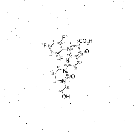 O=C(O)c1cn(-c2c(F)cc(F)cc2F)c2nc(N3CCCN(CCO)C3=O)ccc2c1=O